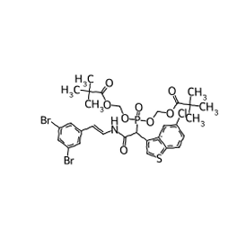 CC(C)(C)C(=O)OCOP(=O)(OCOC(=O)C(C)(C)C)C(C(=O)NC=Cc1cc(Br)cc(Br)c1)c1csc2ccc(Cl)cc12